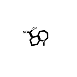 CN1CCCCC2=C1CCCC2=C(C#N)C#N